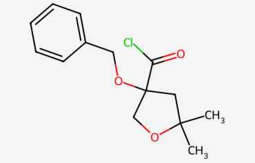 CC1(C)CC(OCc2ccccc2)(C(=O)Cl)CO1